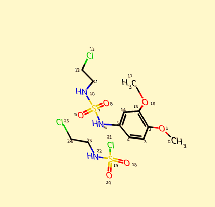 COc1ccc(NS(=O)(=O)NCCCl)cc1OC.O=S(=O)(Cl)NCCCl